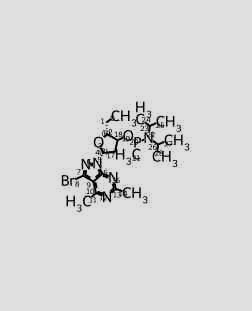 CC[C@H]1O[C@@H](n2nc(Br)c3c(C)nc(C)nc32)CC1OP(C)N(C(C)C)C(C)C